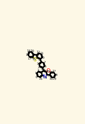 c1ccc2c(-c3ccc(-c4cccc5c4sc4ccccc45)cc3)c3oc4ccccc4c3nc2c1